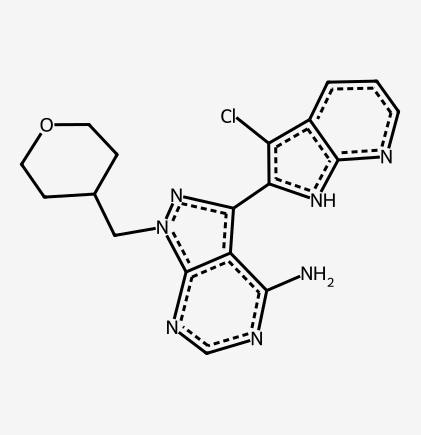 Nc1ncnc2c1c(-c1[nH]c3ncccc3c1Cl)nn2CC1CCOCC1